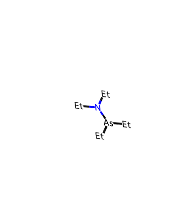 CCN(CC)[As](CC)CC